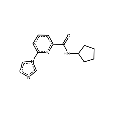 O=C(NC1CCCC1)c1cccc(-n2cnnc2)n1